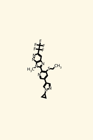 CCSc1cc(-c2cnn(C3CC3)c2)cnc1-c1nc2cc(C(F)(F)C(F)(F)F)nnc2n1C